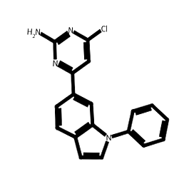 Nc1nc(Cl)cc(-c2ccc3ccn(-c4ccccc4)c3c2)n1